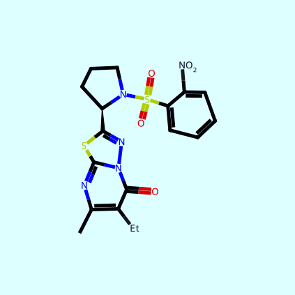 CCc1c(C)nc2sc([C@H]3CCCN3S(=O)(=O)c3ccccc3[N+](=O)[O-])nn2c1=O